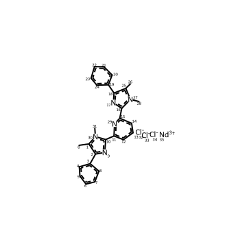 Cc1c(-c2ccccc2)nc(-c2cccc(-c3nc(-c4ccccc4)c(C)n3C)n2)n1C.[Cl-].[Cl-].[Cl-].[Nd+3]